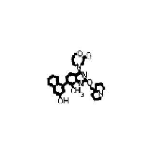 Cc1c(-c2cc(O)cc3ccccc23)ccc2c(N3CCCOC(=O)C3)nc(OCC34CCCN3CCC4)nc12